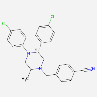 CC1CN(c2ccc(Cl)cc2)[C@H](c2ccc(Cl)cc2)CN1Cc1ccc(C#N)cc1